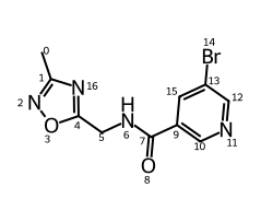 Cc1noc(CNC(=O)c2cncc(Br)c2)n1